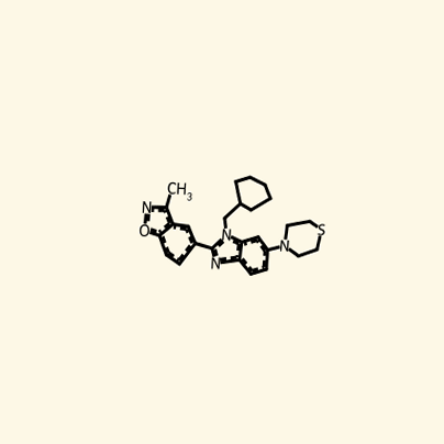 Cc1noc2ccc(-c3nc4ccc(N5CCSCC5)cc4n3CC3CCCCC3)cc12